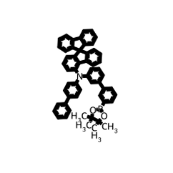 CC1(C)OB(c2cccc(-c3cccc(N(c4ccc(-c5ccccc5)cc4)c4cccc5c4-c4ccccc4C54c5ccccc5-c5ccccc54)c3)c2)OC1(C)C